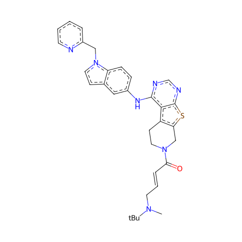 CN(CC=CC(=O)N1CCc2c(sc3ncnc(Nc4ccc5c(ccn5Cc5ccccn5)c4)c23)C1)C(C)(C)C